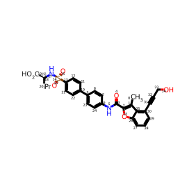 Cc1c(C(=O)Nc2ccc(-c3ccc(S(=O)(=O)N[C@H](C(=O)O)C(C)C)cc3)cc2)oc2cccc(C#CCO)c12